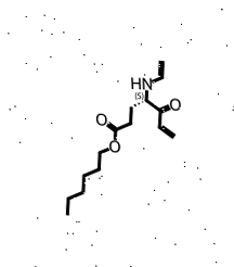 C=CN[C@@H](CCC(=O)OCCCCCC)C(=O)C=C